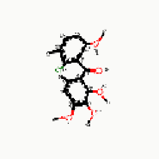 COc1cc(C)c(C(=O)c2c(OC)ccc(C)c2Cl)c(OC)c1OC